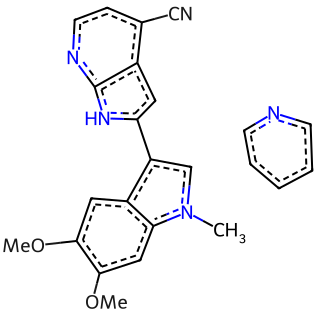 COc1cc2c(-c3cc4c(C#N)ccnc4[nH]3)cn(C)c2cc1OC.c1ccncc1